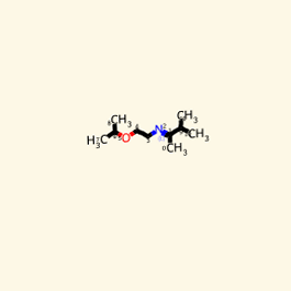 C/C(=N\CCOC(C)C)C(C)C